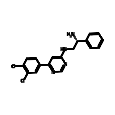 N[C@@H](CNc1cc(-c2ccc(Cl)c(Cl)c2)ncn1)c1ccccc1